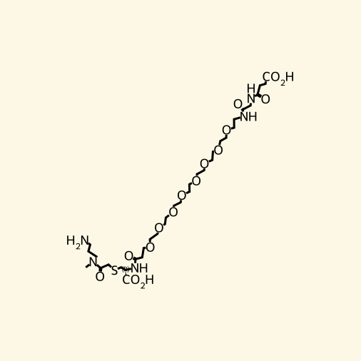 CN(CCCN)C(=O)CSC[C@H](NC(=O)CCOCCOCCOCCOCCOCCOCCOCCOCCNC(=O)CNC(=O)CCC(=O)O)C(=O)O